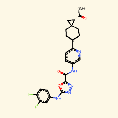 COC(=O)[C@H]1CC12CCC(c1ccc(NC(=O)c3nnc(Nc4ccc(F)c(F)c4)o3)cn1)CC2